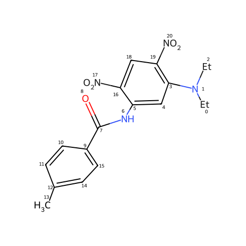 CCN(CC)c1cc(NC(=O)c2ccc(C)cc2)c([N+](=O)[O-])cc1[N+](=O)[O-]